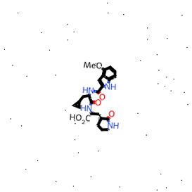 COc1cccc2[nH]c(C(=O)NC(CC3CC3)C(=O)N[C@@H](C[C@@H]3CCCNC3=O)C(=O)O)cc12